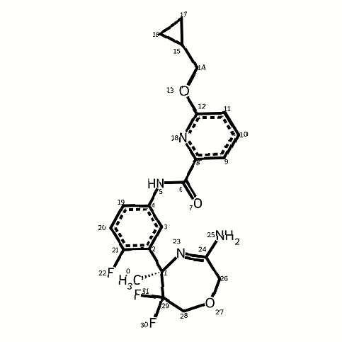 C[C@]1(c2cc(NC(=O)c3cccc(OCC4CC4)n3)ccc2F)N=C(N)COCC1(F)F